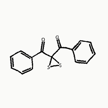 O=C(c1ccccc1)C1(C(=O)c2ccccc2)SS1